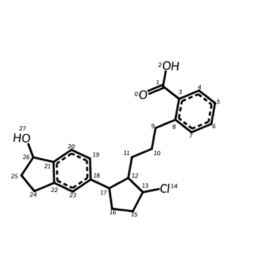 O=C(O)c1ccccc1CCCC1C(Cl)CCC1c1ccc2c(c1)CCC2O